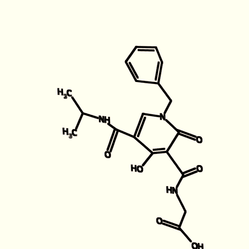 CC(C)NC(=O)c1cn(Cc2ccccc2)c(=O)c(C(=O)NCC(=O)O)c1O